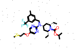 CC[C@@H]1C[C@H](N(Cc2cc(C)cc(C(F)(F)F)c2)c2ncc(OCCSC)cn2)C[C@H](CC)N1C(=O)OC(C)C